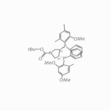 COc1cc(C)c(P(c2ccccc2)[C@@H]2CN(C(=O)OC(C)(C)C)C[C@H]2P(c2ccccc2)c2c(C)cc(C)cc2OC)c(OC)c1